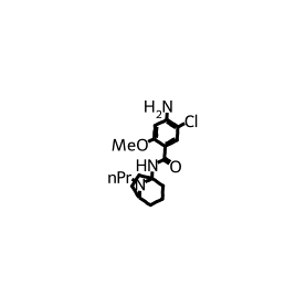 CCCN1C2CCCC1(NC(=O)c1cc(Cl)c(N)cc1OC)CC2